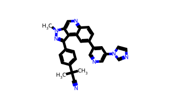 Cn1nc(-c2ccc(C(C)(C)C#N)cc2)c2c3cc(-c4cncc(-n5ccnc5)c4)ccc3ncc21